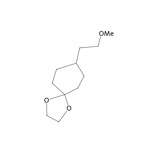 COCCC1CCC2(CC1)OCCO2